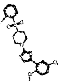 COc1ccc(OC)c(-c2csc(N3CCC(S(=O)(=O)c4ccccc4Br)CC3)n2)c1